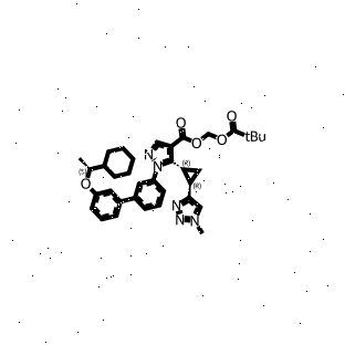 C[C@H](Oc1cccc(-c2cccc(-n3ncc(C(=O)OCOC(=O)C(C)(C)C)c3[C@@H]3C[C@H]3c3cn(C)nn3)c2)c1)C1CCCCC1